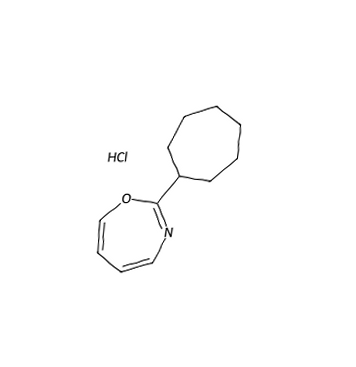 C1=CN=C(C2CCCCCC2)OC=C1.Cl